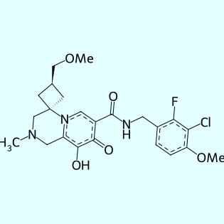 COC[C@H]1C[C@]2(CN(C)Cc3c(O)c(=O)c(C(=O)NCc4ccc(OC)c(Cl)c4F)cn32)C1